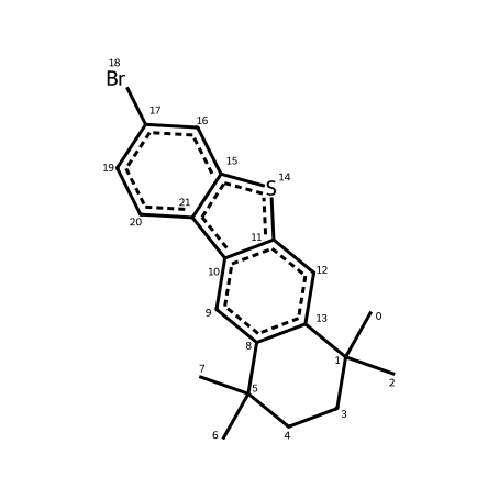 CC1(C)CCC(C)(C)c2cc3c(cc21)sc1cc(Br)ccc13